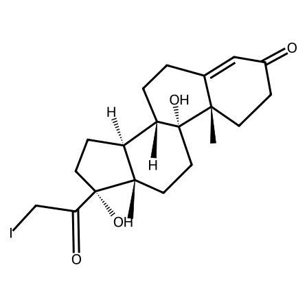 C[C@]12CCC(=O)C=C1CC[C@H]1[C@@H]3CC[C@](O)(C(=O)CI)[C@@]3(C)CC[C@@]12O